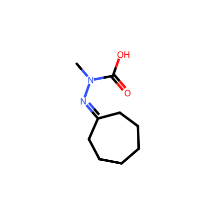 CN(N=C1CCCCCC1)C(=O)O